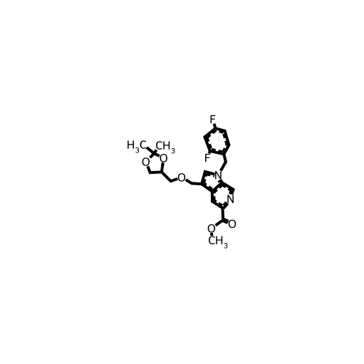 COC(=O)c1cc2c(COCC3COC(C)(C)O3)cn(Cc3ccc(F)cc3F)c2cn1